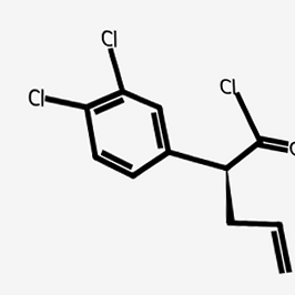 C=CC[C@H](C(=O)Cl)c1ccc(Cl)c(Cl)c1